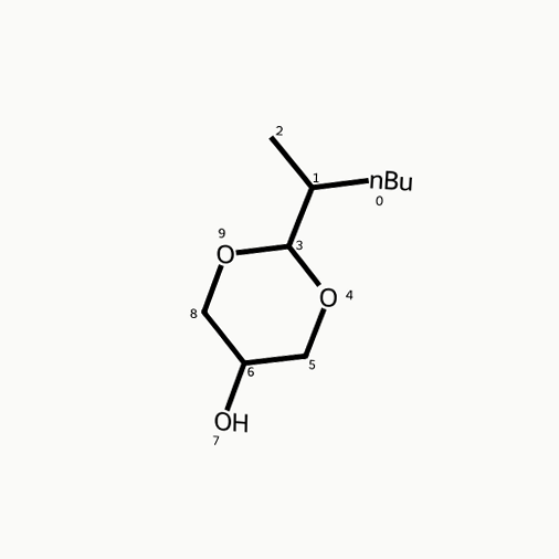 CCCCC(C)C1OCC(O)CO1